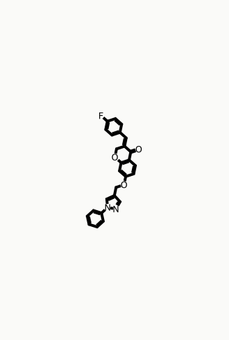 O=C1/C(=C/c2ccc(F)cc2)COc2cc(OCc3cnn(-c4ccccc4)c3)ccc21